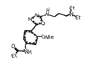 CCC(=O)Nc1ccc(-c2nnc(NCCCN(CC)CC)o2)c(OC)c1